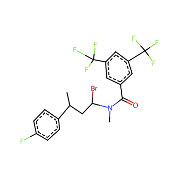 CC(CC(Br)N(C)C(=O)c1cc(C(F)(F)F)cc(C(F)(F)F)c1)c1ccc(F)cc1